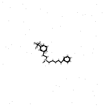 CN(CCCCCc1ccccc1)CCc1cccc(C(F)(F)F)c1